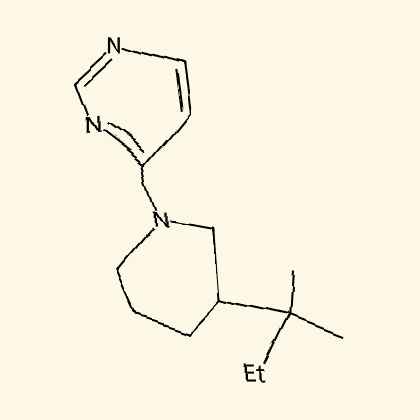 CCC(C)(C)C1CCCN(c2ccncn2)C1